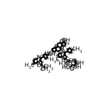 C[C@]12CC[C@@H]3c4ccc(O)cc4CC[C@H]3[C@@H]1CC[C@@H]2O.Cc1ccc(-c2nc3ccc(C)cn3c2CC(=O)N(C)C)cc1.Cc1ccc(-c2nc3ccc(C)cn3c2CC(=O)N(C)C)cc1.O=C(O)C(O)C(O)C(=O)O